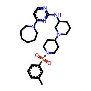 Cc1cccc(S(=O)(=O)N2CCC(N3CCCC(Nc4nccc(N5CCCCCC5)n4)C3)CC2)c1